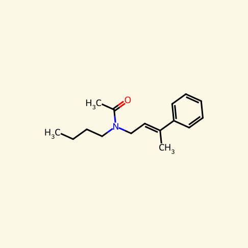 CCCCN(C/C=C(\C)c1ccccc1)C(C)=O